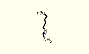 CCCCCCCC/N=C/N